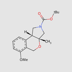 COc1cccc2c1CO[C@@]1(C)CN(C(=O)OC(C)(C)C)C[C@@H]21